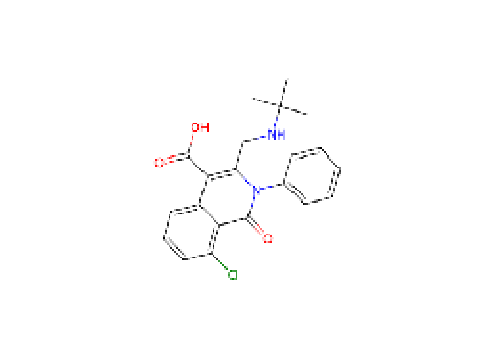 CC(C)(C)NCc1c(C(=O)O)c2cccc(Cl)c2c(=O)n1-c1ccccc1